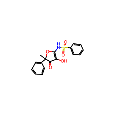 CC1(c2ccccc2)OC(NS(=O)(=O)c2ccccc2)=C(O)C1=O